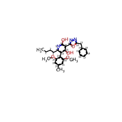 CCCCc1nc(O)c(-c2nnc(Cc3ccccc3)o2)c(O)c1-c1c(OC)cc(C)cc1OC